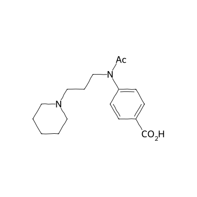 CC(=O)N(CCCN1CCCCC1)c1ccc(C(=O)O)cc1